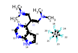 CN(C)/C=C(\C=[N+](C)C)c1ncnc2[nH]ccc12.F[As-](F)(F)(F)(F)F